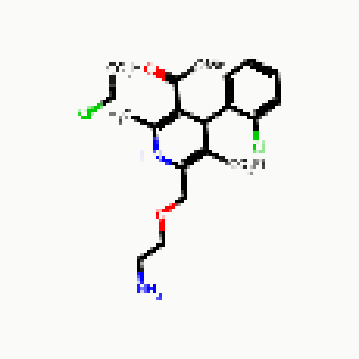 CCOC(=O)C1=C(COCCN)NC(C)=C(C(=O)OC)C1c1ccccc1Cl.O=C(O)CCl